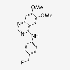 COc1cc2ncnc(Nc3ccc(CF)cc3)c2cc1OC